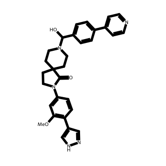 COc1cc(N2CCC3(CCN(C(O)c4ccc(-c5ccncc5)cc4)CC3)C2=O)ccc1-c1cn[nH]c1